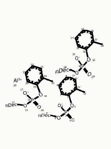 CCCCCCCCCCOP(=O)([O-])Oc1ccccc1C.CCCCCCCCCCOP(=O)([O-])Oc1ccccc1C.CCCCCCCCCCOP(=O)([O-])Oc1ccccc1C.[Al+3]